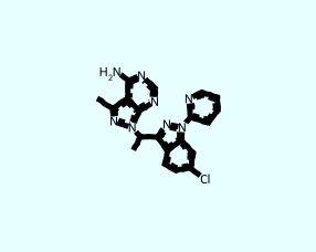 Cc1nn(C(C)c2nn(-c3ccccn3)c3cc(Cl)ccc23)c2ncnc(N)c12